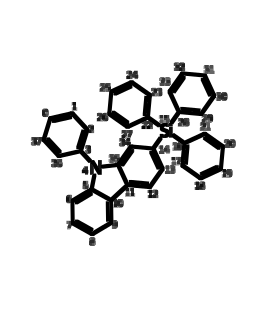 c1ccc(-n2c3ccccc3c3ccc([Si](c4ccccc4)(c4ccccc4)c4ccccc4)cc32)cc1